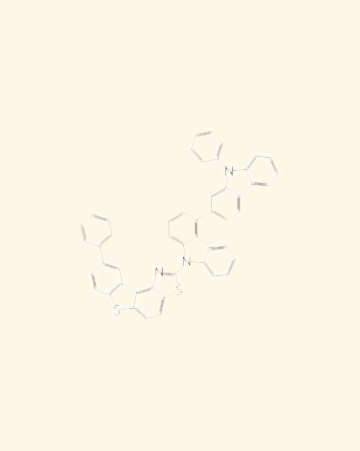 c1ccc(-c2ccc3sc4ccc5sc(-n6c7ccccc7c7c(-c8ccc9c%10ccccc%10n(-c%10ccccc%10)c9c8)cccc76)nc5c4c3c2)cc1